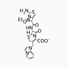 CCON1C(C(=O)N[C@@H]2C(=O)N3C(C(=O)[O-])=C(Cn4cc[n+]5ccccc45)CS[C@@H]23)C2=CSC(N)N21